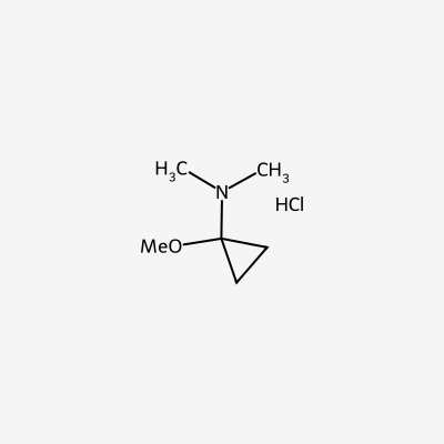 COC1(N(C)C)CC1.Cl